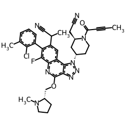 CC#CC(=O)N1CC[C@H](n2nnc3c(OC[C@@H]4CCCN4C)nc4c(F)c(-c5cccc(C)c5Cl)c(C(C)C#N)cc4c32)C[C@H]1CC#N